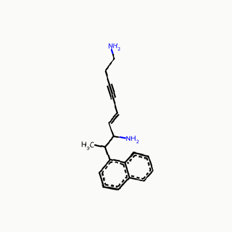 CC(c1cccc2ccccc12)C(N)C=CC#CCCN